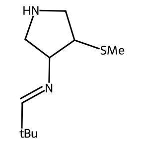 CSC1CNCC1N=CC(C)(C)C